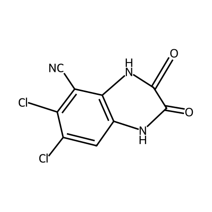 N#Cc1c(Cl)c(Cl)cc2[nH]c(=O)c(=O)[nH]c12